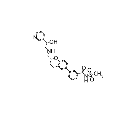 CS(=O)(=O)NC(=O)c1cccc(-c2ccc3c(c2)CC[C@H](CNC[C@@H](O)c2cccnc2)O3)c1